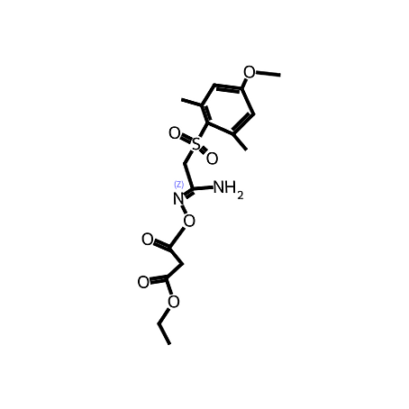 CCOC(=O)CC(=O)O/N=C(\N)CS(=O)(=O)c1c(C)cc(OC)cc1C